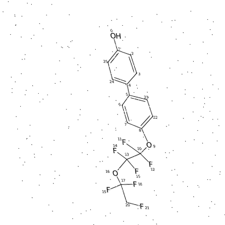 Oc1ccc(-c2ccc(OC(F)(F)C(F)(F)OC(F)(F)CF)cc2)cc1